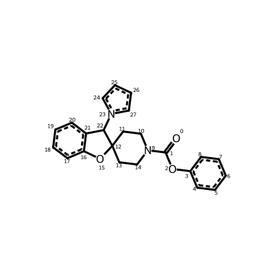 O=C(Oc1ccccc1)N1CCC2(CC1)Oc1ccccc1C2n1cccc1